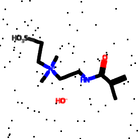 C=C(C)C(=O)NCC[N+](C)(C)CCS(=O)(=O)O.[OH-]